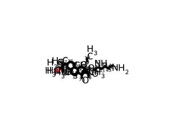 CCCOC1CC23COCC(C)([C@@H]2CCC2C3=CCC3(C)C(OC(=O)O)C(C)([C@H](C)C(C)C)CCC23C)[C@H]1OC(=O)C(N)CCCCN